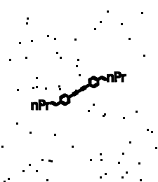 CCC/C=C/c1ccc(C#CC#Cc2ccc(/C=C/CCC)cc2)cc1